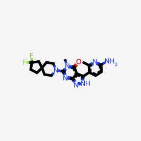 Cc1nc(N)ccc1-c1[nH]nc2nc(N3CCC4(CC3)CCC(F)(F)C4)n(C)c(=O)c12